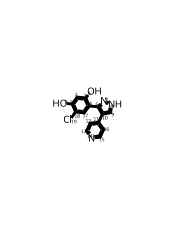 Oc1cc(O)c(-c2n[nH]cc2-c2ccncc2)cc1Cl